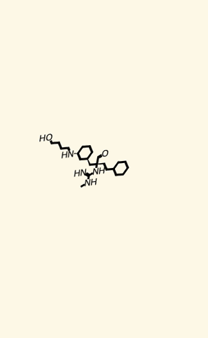 CNC(=N)N[C@](C=O)(CCC1CCCCC1)C[C@@H]1CCC[C@@H](NCCCCO)C1